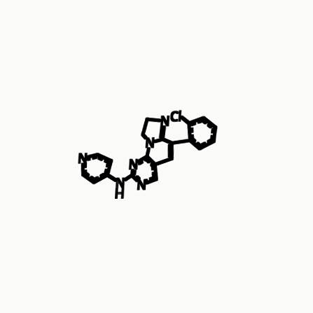 Clc1ccccc1C1=Cc2cnc(Nc3ccncc3)nc2N2CCN=C12